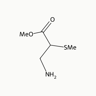 COC(=O)C(CN)SC